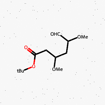 COC(C=O)CC(CC(=O)OC(C)(C)C)OC